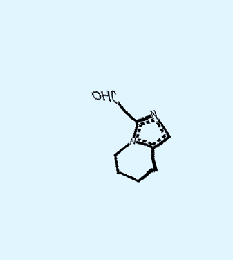 O=Cc1ncc2n1CCCC2